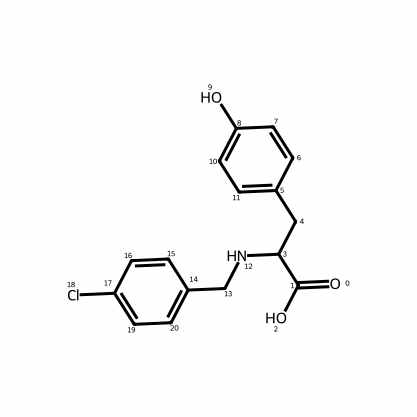 O=C(O)C(Cc1ccc(O)cc1)NCc1ccc(Cl)cc1